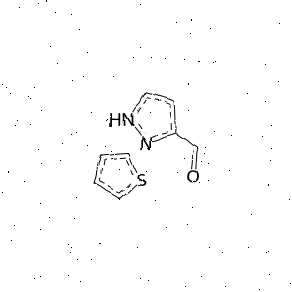 O=Cc1cc[nH]n1.c1ccsc1